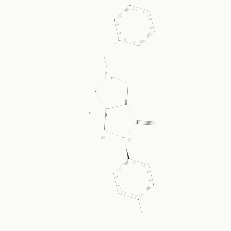 C[C@@H]1[C@H]2CN(Cc3ccccc3)C[C@H]2C(=O)[C@H]1c1ccc(F)cc1